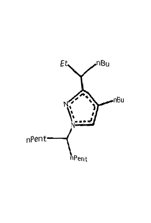 CCCCCC(CCCCC)n1cc(CCCC)c(C(CC)CCCC)n1